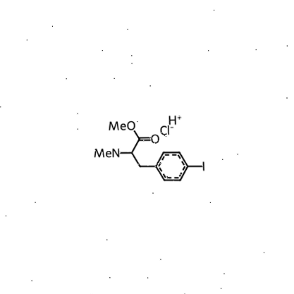 CNC(Cc1ccc(I)cc1)C(=O)OC.[Cl-].[H+]